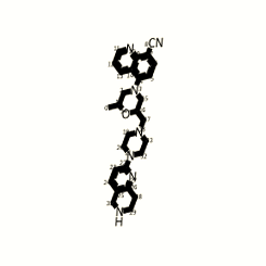 CC1CN(c2ccc(C#N)c3ncccc23)CC(CN2CCN(c3ccc4c(n3)CCNC4)CC2)O1